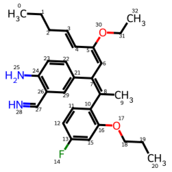 CCC/C=C/C(=C\C(=C(/C)c1ccc(F)cc1OCCC)c1ccc(N)c(C=N)c1)OCC